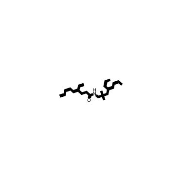 C=C/C=C\C=C(/C=C)CCC(=O)NCC(C)(C)CC(/C=C\C)=C/C=C\C